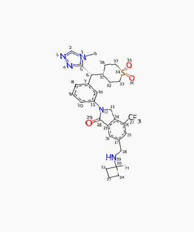 Cn1cnnc1[C@@H](c1cccc(N2Cc3c(cc(CNC4(C)CCC4)cc3C(F)(F)F)C2=O)c1)C1CCS(=O)(=O)CC1